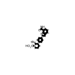 CC(C)(C)C1[C@H](c2ccc(-n3cc4cccc(C(N)=O)c4n3)cc2)CCCN1C(=O)O